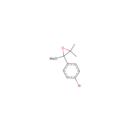 COC1(c2ccc(Br)cc2)OC1(C)C